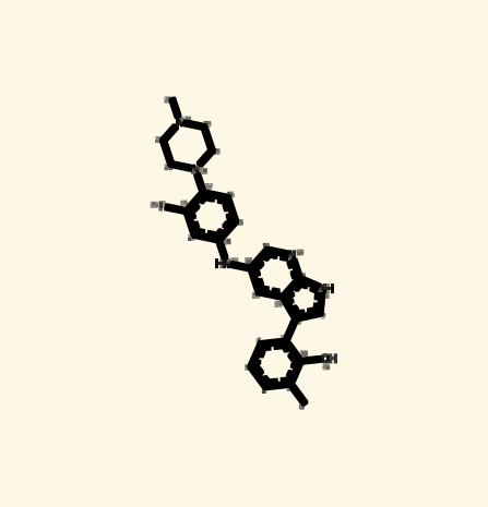 Cc1cccc(-c2c[nH]c3ncc(Nc4ccc(N5CCN(C)CC5)c(F)c4)cc23)c1O